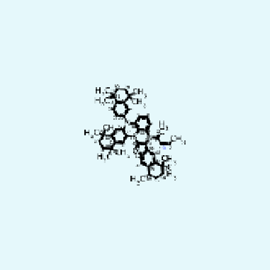 C=C(/C=C\C)N1c2cccc3c2B(c2cc4c(cc2N3c2ccc3c(c2)C(C)(C)CCC3(C)C)C(C)(C)CCC4(C)C)c2oc3cc4c(cc3c21)C(C)(C)CC[C@@H]4C